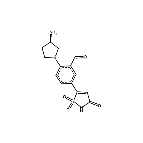 N[C@@H]1CCN(c2ccc(C3=CC(=O)NS3(=O)=O)cc2C=O)C1